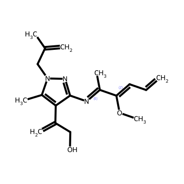 C=C/C=C(OC)/C(C)=N/c1nn(CC(=C)C)c(C)c1C(=C)CO